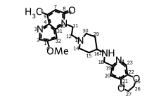 COc1cnc2c(C)cc(=O)n(CCN3CCC(NCc4cc5c(cn4)OCCO5)CC3)c2c1